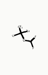 [2H]C(Cl)(OC(F)F)C(F)(F)F